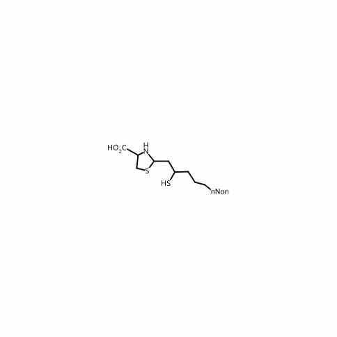 CCCCCCCCCCCCC(S)CC1NC(C(=O)O)CS1